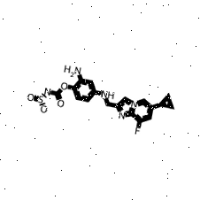 Nc1cc(NCc2cn3cc(C4CC4)cc(F)c3n2)ccc1OC(=O)N=S(=O)=O